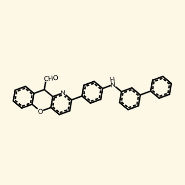 O=CC1c2ccccc2Oc2ccc(-c3ccc(Nc4cccc(-c5ccccc5)c4)cc3)nc21